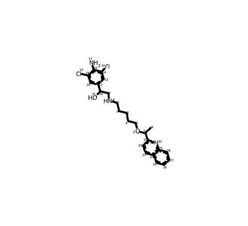 CC(OCCCCCNCC(O)c1cc(Cl)c(N)c(Cl)c1)c1ccc2ccccc2n1